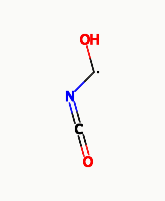 O=C=N[CH]O